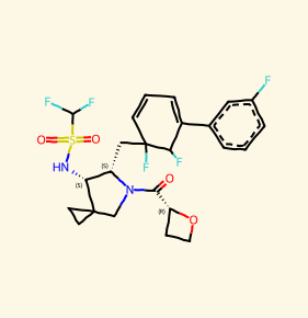 O=C([C@H]1CCO1)N1CC2(CC2)[C@H](NS(=O)(=O)C(F)F)[C@@H]1CC1(F)C=CC=C(c2cccc(F)c2)C1F